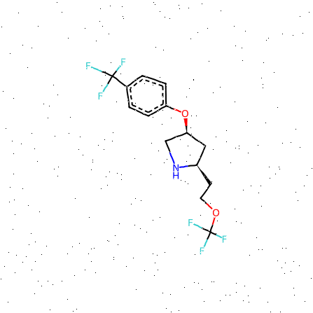 FC(F)(F)OCC[C@@H]1C[C@H](Oc2ccc(C(F)(F)F)cc2)CN1